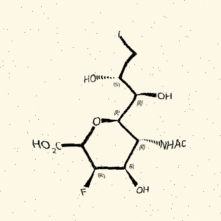 CC(=O)N[C@@H]1[C@@H](O)[C@@H](F)C(C(=O)O)O[C@H]1[C@H](O)[C@H](O)CI